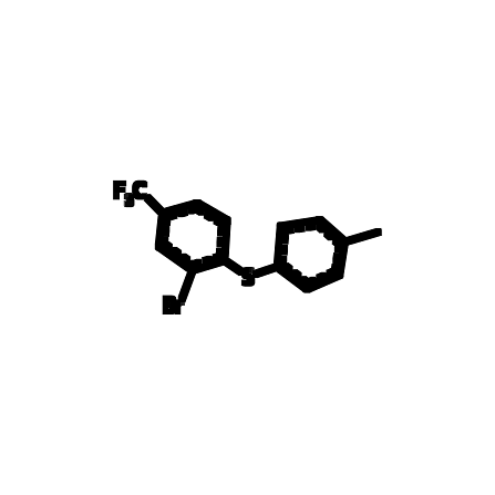 Cc1ccc(Sc2ccc(C(F)(F)F)cc2Br)cc1